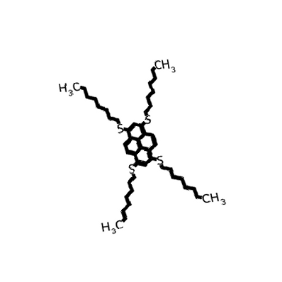 CCCCCCCCSc1cc(SCCCCCCCC)c2ccc3c(SCCCCCCCC)cc(SCCCCCCCC)c4ccc1c2c43